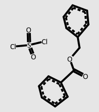 O=C(OCc1ccccc1)c1ccccc1.O=S(=O)(Cl)Cl